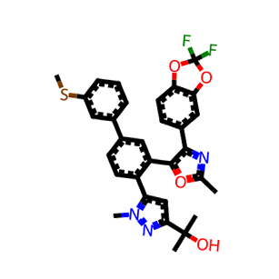 CSc1cccc(-c2ccc(-c3cc(C(C)(C)O)nn3C)c(-c3oc(C)nc3-c3ccc4c(c3)OC(F)(F)O4)c2)c1